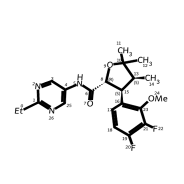 CCc1ncc(NC(=O)[C@@H]2OC(C)(C)[C@@H](C)[C@H]2c2ccc(F)c(F)c2OC)cn1